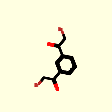 O=C(CBr)c1cccc(C(=O)CBr)c1